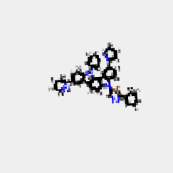 c1ccc(-c2ncc(-n3c4ccc(-c5ccccn5)cc4c4c3ccc3c5cc(-c6ccccn6)ccc5n(-c5ccccc5)c34)s2)cc1